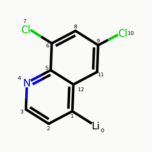 [Li][c]1ccnc2c(Cl)cc(Cl)cc12